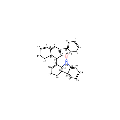 C1=CCC2B3C4=C(C=C5C=CCCC5C4C4=CCCc5c4n3c3ccccc53)C2=C1